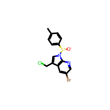 Cc1ccc([S+]([O-])n2cc(CCl)c3cc(Br)cnc32)cc1